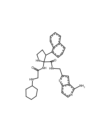 Nc1nccc2sc(CNC(=O)C3(NC(=O)CNC4CCCCC4)NCCC3c3cccc4ccccc34)cc12